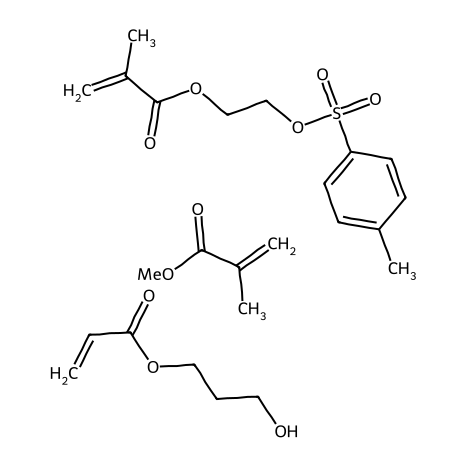 C=C(C)C(=O)OC.C=C(C)C(=O)OCCOS(=O)(=O)c1ccc(C)cc1.C=CC(=O)OCCCO